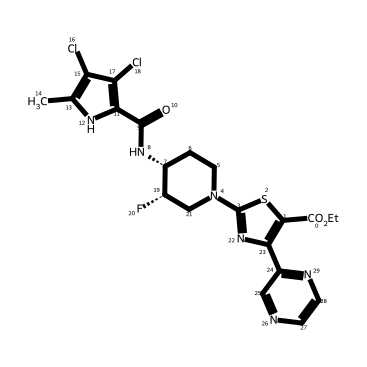 CCOC(=O)c1sc(N2CC[C@@H](NC(=O)c3[nH]c(C)c(Cl)c3Cl)[C@@H](F)C2)nc1-c1cnccn1